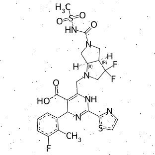 Cc1c(F)cccc1C1N=C(c2nccs2)NC(CN2CC(F)(F)[C@@H]3CN(C(=O)NS(C)(=O)=O)C[C@@H]32)=C1C(=O)O